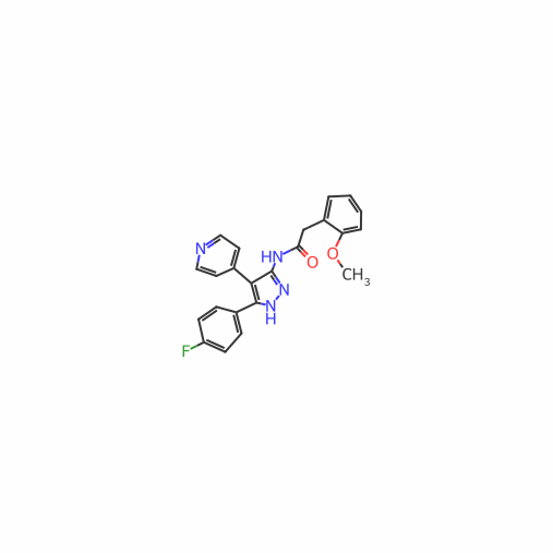 COc1ccccc1CC(=O)Nc1n[nH]c(-c2ccc(F)cc2)c1-c1ccncc1